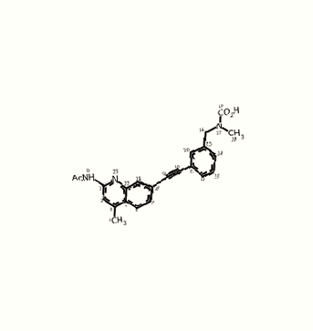 CC(=O)Nc1cc(C)c2ccc(C#Cc3cccc(CN(C)C(=O)O)c3)cc2n1